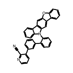 N#Cc1ncccc1-c1cccc(-c2ccccc2-n2c3ccccc3c3cc4oc5ccccc5c4cc32)c1